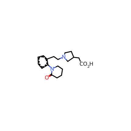 O=C(O)CC1CCN(CCc2ccccc2N2CCCCC2=O)C1